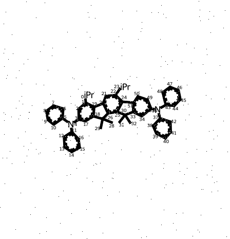 CC(C)c1cc(N(c2ccccc2)c2ccccc2)cc2c1-c1cc(C(C)C)c3c(c1C2(C)C)C(C)(C)c1cc(N(c2ccccc2)c2ccccc2)ccc1-3